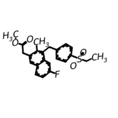 CCS(=O)(=O)c1ccc(Cc2c(C)c(CC(=O)OC)cc3ccc(F)cc23)cc1